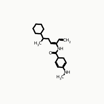 C=C/C(=C\CC(C)C1CCCCC1)NC(=O)C1C=CC(NC)=CC1